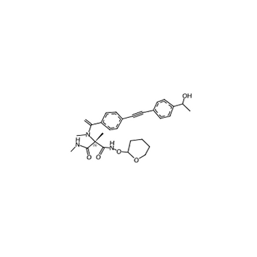 C=C(c1ccc(C#Cc2ccc(C(C)O)cc2)cc1)N(C)[C@@](C)(C(=O)NC)C(=O)NOC1CCCCO1